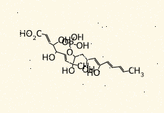 CC=CC=CC(O)=CC(O)CC(OP(=O)(O)O)C(C)(O)C=CC(O)C(O)C=CC(=O)O